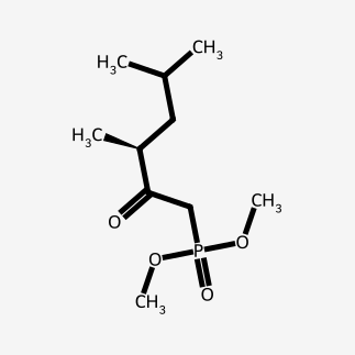 COP(=O)(CC(=O)[C@@H](C)CC(C)C)OC